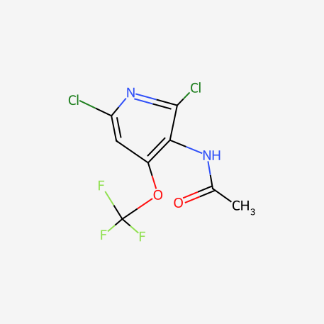 CC(=O)Nc1c(OC(F)(F)F)cc(Cl)nc1Cl